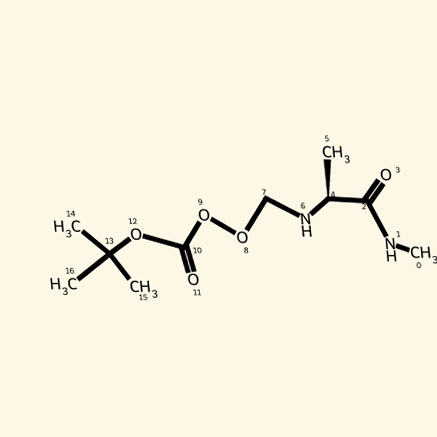 CNC(=O)[C@H](C)NCOOC(=O)OC(C)(C)C